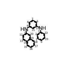 c1ccc(Nc2cccc(Nc3ccc4ccccc4c3)c2)cc1